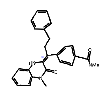 CNC(=O)c1ccc(/C(CCc2ccccc2)=C2/Nc3ccccc3N(C)C2=O)cc1